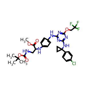 COC(=O)C(CNC(=O)OC(C)(C)C)Nc1ccc(Nc2nc(NC3(c4ccc(Cl)cc4)CC3)nc(OCC(F)(F)F)n2)cc1